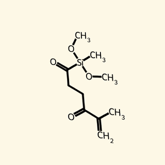 C=C(C)C(=O)CCC(=O)[Si](C)(OC)OC